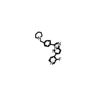 Fc1cnccc1-c1ccc2ncc(-c3ccc(CN4CCCCC4)cc3)n2n1